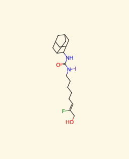 O=C(NC1C2CC3CC(C2)CC1C3)N(I)CCCCCC=C(F)CO